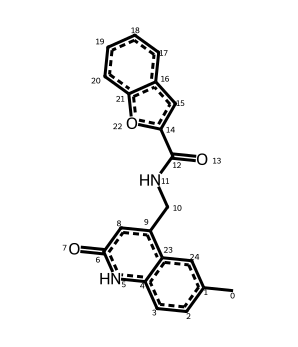 Cc1ccc2[nH]c(=O)cc(CNC(=O)c3cc4ccccc4o3)c2c1